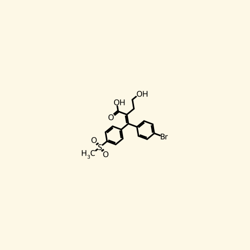 CS(=O)(=O)c1ccc(C(=C(CCO)C(=O)O)c2ccc(Br)cc2)cc1